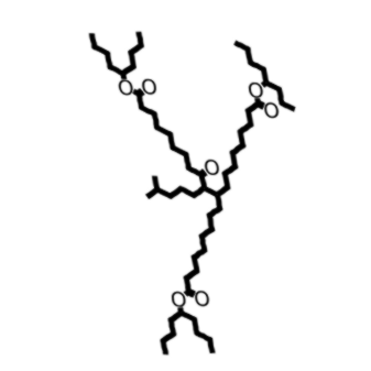 CCCCC(CCC)OC(=O)CCCCCCCCC(CCCCCCCCC(=O)OC(CCCC)CCCC)C(CCCC(C)C)C(=O)CCCCCCCC(=O)OC(CCCC)CCCC